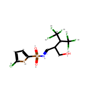 O=S(=O)(/N=C/C(CO)C(C(F)(F)F)C(F)(F)F)c1ccc(Cl)s1